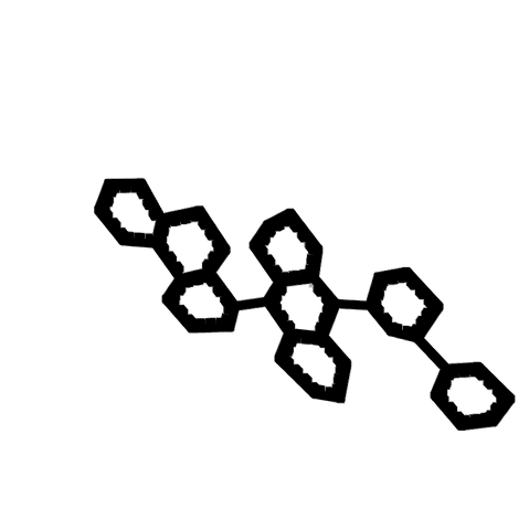 c1ccc(-c2cccc(-c3c4ccccc4c(-c4cccc5c4ccc4ccccc45)c4ccccc34)c2)cc1